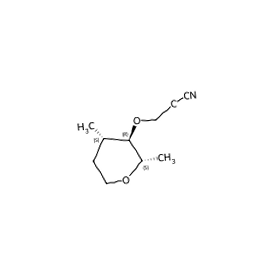 C[C@@H]1OCC[C@H](C)[C@H]1OCCC#N